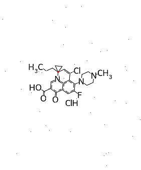 CCCC/C=C(/Cl)c1c(N2CCN(C)CC2)c(F)cc2c(=O)c(C(=O)O)cn(C3CC3)c12.Cl